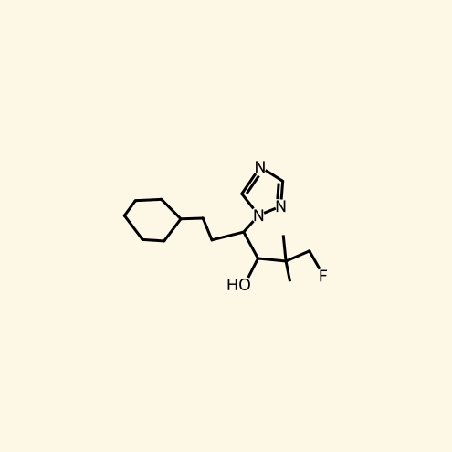 CC(C)(CF)C(O)C(CCC1CCCCC1)n1cncn1